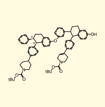 CC(C)(C)OC(=O)N1CC=C(c2ccc(C3c4ccc(O)cc4CCC3c3cccc(Oc4ccc5c(c4)CC[C@H](c4ccccc4)[C@@H]5c4ccc(C5CCN(C(=O)OC(C)(C)C)CC5)cc4)c3)cc2)CC1